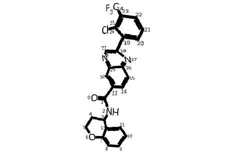 O=C(NC1CCOc2ccccc21)c1ccc2nc(-c3cccc(C(F)(F)F)c3Cl)cnc2c1